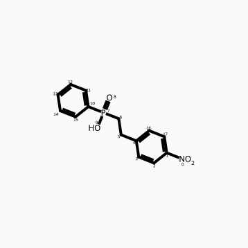 O=[N+]([O-])c1ccc(CCP(=O)(O)c2ccccc2)cc1